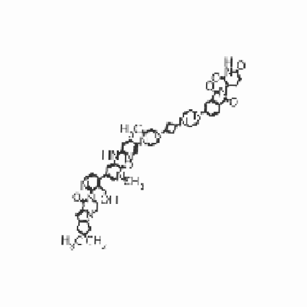 C[C@H]1CN(C2CC(N3CCN(c4ccc5c(c4)C(=O)N(C4CCC(=O)NC4=O)C5=O)CC3)C2)CCN1c1ccc(Nc2cc(-c3ccnc(N4CCn5c(cc6c5CC(C)(C)C6)C4=O)c3CO)cn(C)c2=O)nc1